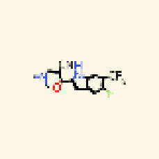 CN(C)/C=C(/C#N)C(=O)c1cc2cc(F)c(C(F)(F)F)cc2[nH]1